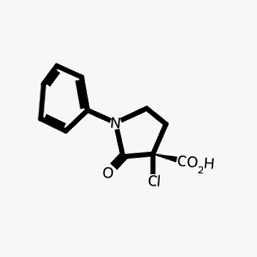 O=C(O)[C@]1(Cl)CCN(c2ccccc2)C1=O